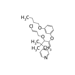 CCCCOc1cccc(OC(=Cc2cccnc2)C(OCC=CCl)C(C)(C)C)c1